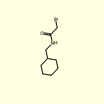 O=C(CBr)NCC1CCCCC1